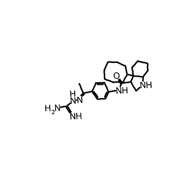 C/C(=N\NC(=N)N)c1ccc(NC(=O)C2CNC3CCCCC32C2CCCCCCC2)cc1